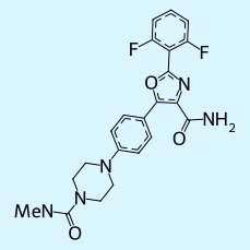 CNC(=O)N1CCN(c2ccc(-c3oc(-c4c(F)cccc4F)nc3C(N)=O)cc2)CC1